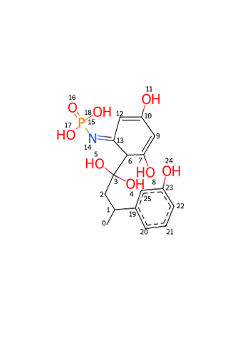 CC(CC(O)(O)C1C(O)=CC(O)=CC1=NP(=O)(O)O)c1cccc(O)c1